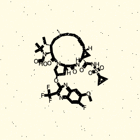 CC[C@@H]1C[C@H](C)CC/C=C\[C@@H]2C[C@@]2(C(=O)NS(=O)(=O)C2CC2)NC(=O)[C@@H]2C[C@@H](Oc3nc4cc(OC)c(F)cc4nc3C(F)(F)F)CN2C(=O)[C@H]1N(C(=O)O)C(C)(C)C